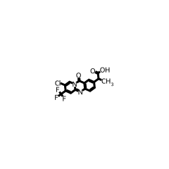 CC(C(=O)O)c1ccc2nc3cc(C(F)(F)F)c(Cl)cn3c(=O)c2c1